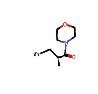 CC(C)C[C@H](C)C(=O)N1CCOCC1